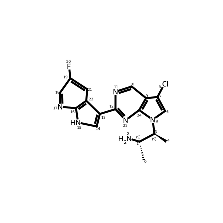 C[C@H](N)[C@H](C)n1cc(Cl)c2cnc(-c3c[nH]c4ncc(F)cc34)nc21